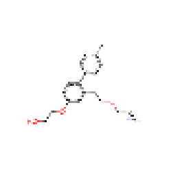 C/C=C/COCCc1cc(OCCO)ccc1-c1ccc(C)cc1